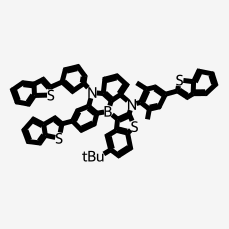 Cc1cc(-c2cc3ccccc3s2)cc(C)c1N1c2cccc3c2B(c2ccc(-c4cc5ccccc5s4)cc2N3c2cccc(-c3cc4ccccc4s3)c2)c2c1sc1ccc(C(C)(C)C)cc21